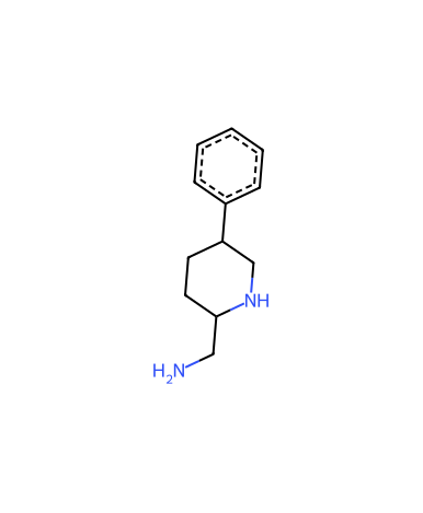 NCC1CCC(c2ccccc2)CN1